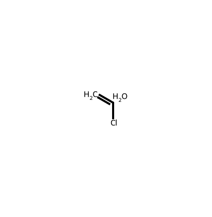 C=CCl.O